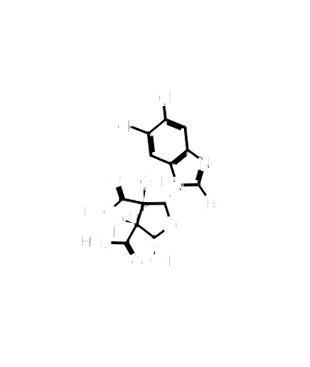 CC(=O)[C@@]1(O)[C@@H](C)O[C@@H](n2c(Br)nc3cc(Cl)c(Cl)cc32)[C@@]1(O)C(C)=O